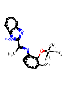 CC(=Nc1cccc(C)c1O[Si](C)(C)C)c1nc2ccccc2[nH]1